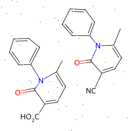 Cc1ccc(C#N)c(=O)n1-c1ccccc1.Cc1ccc(C(=O)O)c(=O)n1-c1ccccc1